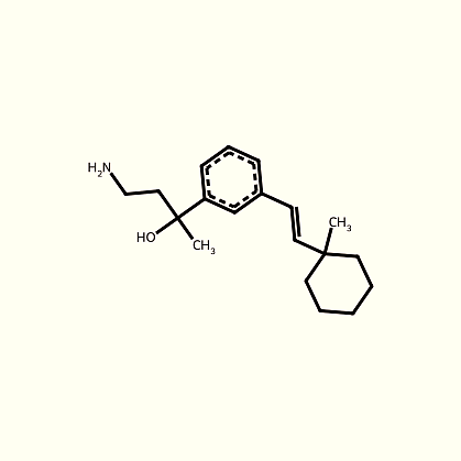 CC1(/C=C/c2cccc(C(C)(O)CCN)c2)CCCCC1